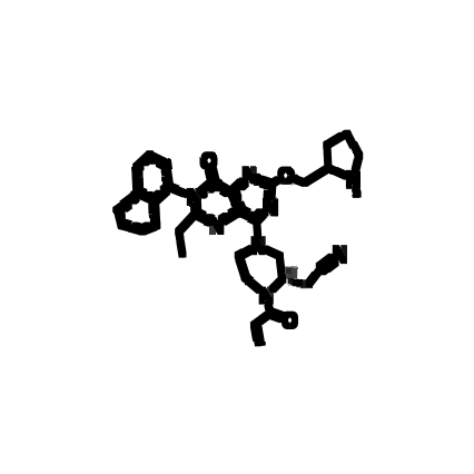 C=CC(=O)N1CCN(c2nc(OCC3CCCN3C)nc3c(=O)n(-c4cccc5ccccc45)c(CC)nc23)C[C@@H]1CC#N